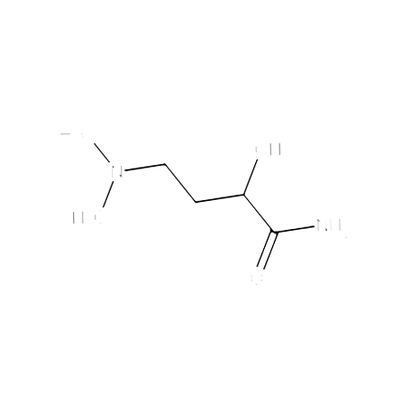 CN(C)C[CH]C(O)C(N)=O